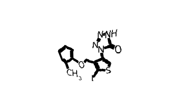 Cc1ccccc1OCc1c(-n2nn[nH]c2=O)csc1I